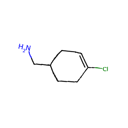 NCC1CC=C(Cl)CC1